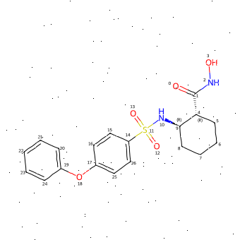 O=C(NO)[C@@H]1CCCC[C@H]1NS(=O)(=O)c1ccc(Oc2ccccc2)cc1